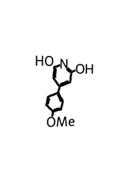 COc1ccc(-c2cc(O)nc(O)c2)cc1